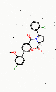 COc1cc(F)ccc1-c1ccc(C(=O)N2[C@@H](c3ccccc3Cl)CC[C@H]2C(=O)O)cc1